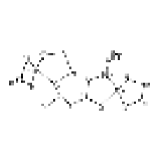 CC(C)N1CC(CC(C)N2CCCC23COC3)CC12CCCC2